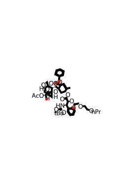 CCCOCCOCC(=O)O[C@H](C(=O)O[C@@H]1C[C@](O)([C@H](OC(=O)c2ccccc2)[C@H]2[C@@]3(OC(C)=O)CO[C@H]3C[C@H]3C[C@]32C(=O)[C@H](C)OC(C)=O)C(C)(C)C=C1C)[C@H](NC(=O)OC(C)(C)C)c1ccccc1